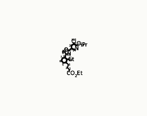 CCOC(=O)CCCc1cccc(-c2noc(-c3cnc(OC(C)C)c(Cl)c3)n2)c1CC